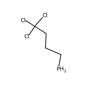 PCCCC(Cl)(Cl)Cl